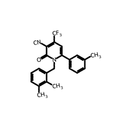 [C-]#[N+]c1c(C(F)(F)F)cc(-c2cccc(C)c2)n(Cc2cccc(C)c2C)c1=O